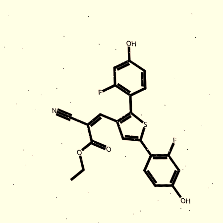 CCOC(=O)C(C#N)=Cc1cc(-c2ccc(O)cc2F)sc1-c1ccc(O)cc1F